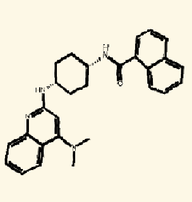 CN(C)c1cc(N[C@H]2CC[C@@H](NC(=O)c3cccc4ccccc34)CC2)nc2ccccc12